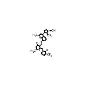 C#Cc1ccc(-c2cc(C)nc3c(OCc4c(Cl)cc(C)nc4Cn4cccc(C(F)(F)F)c4=O)cccc23)n1C